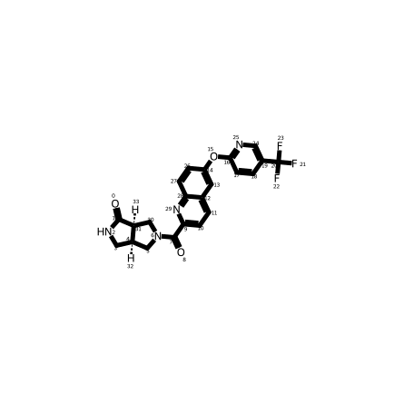 O=C1NC[C@@H]2CN(C(=O)c3ccc4cc(Oc5ccc(C(F)(F)F)cn5)ccc4n3)C[C@H]12